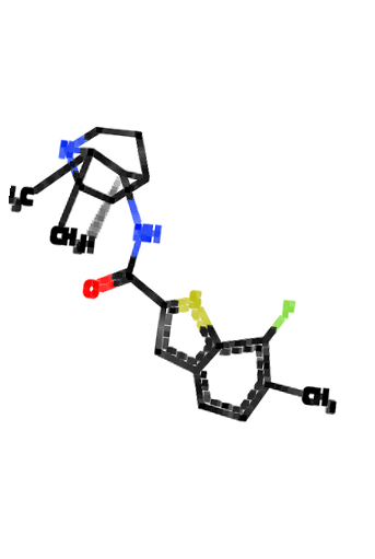 Cc1ccc2cc(C(=O)N[C@@H]3C4CCN(CC4)C3(C)C)sc2c1F